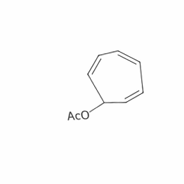 CC(=O)OC1C=CC=CC=C1